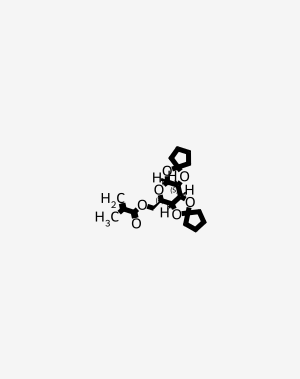 C=C(C)C(=O)OC[C@H]1O[C@@H]2OC3(CCCC3)O[C@H]2[C@H]2OC3(CCCC3)O[C@@H]21